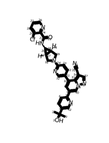 CC(C)(O)c1ccc(-c2cc(-c3ccc(N4C[C@@H]5[C@H](C4)[C@@H]5NC(=O)c4ncccc4Cl)nc3)c3c(C#N)cnn3c2)nc1